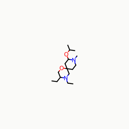 CCC1COC2(CCN(C)C(OC(C)C)C2)CN1CC